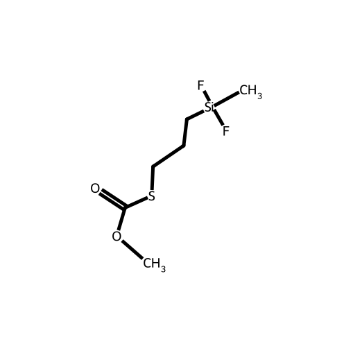 COC(=O)SCCC[Si](C)(F)F